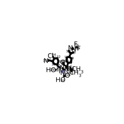 CC(C)(C)C[C@]1(c2ccc(-c3cnn(C(F)F)c3)cc2)N/C(=N\C(=O)O)N([C@H](CO)c2ccc(Cl)c(C#N)c2)C1=O